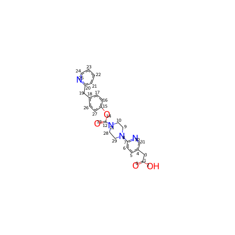 O=C(O)Cc1ccc(N2CCN(C(=O)Oc3ccc(Cc4ccccn4)cc3)CC2)nc1